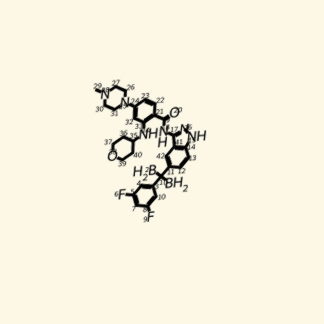 BC(B)(c1cc(F)cc(F)c1)c1ccc2[nH]nc(NC(=O)c3ccc(N4CCN(C)CC4)cc3NC3CCOCC3)c2c1